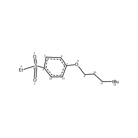 CCS(=O)(=O)c1ccc(OCCCC(C)(C)C)cc1